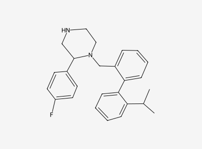 CC(C)c1ccccc1-c1ccccc1CN1CCNCC1c1ccc(F)cc1